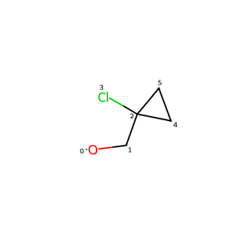 [O]CC1(Cl)CC1